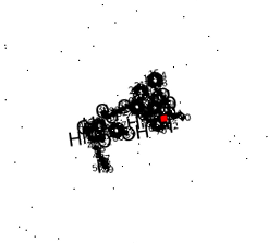 C=CCOC(=O)[C@@H]1[C@H]2C(=O)O[C@H](c3ccccc3)[C@H](c3ccccc3)N2[C@H](c2ccc(OCCOC(=O)[C@H]3C[C@H]4C(=O)N[C@@H](CCCCN(C)C)C(=O)N4[C@H]3c3ccc(O)cc3)cc2)[C@@]12C(=O)Nc1ccc(I)cc12